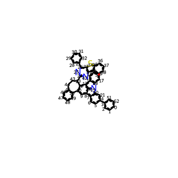 c1ccc(-c2ccc3c4cc5c(c6c7ccccc7n(c3c2)c46)C(c2nc(-c3ccccc3)c3sc4ccccc4c3n2)CCc2ccccc2-5)cc1